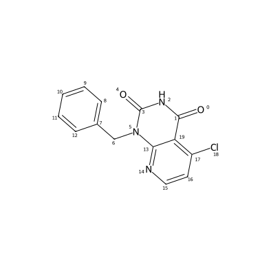 O=c1[nH]c(=O)n(Cc2ccccc2)c2nccc(Cl)c12